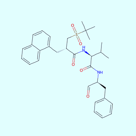 CC(C)[C@H](NC(=O)[C@H](Cc1cccc2ccccc12)CS(=O)(=O)C(C)(C)C)C(=O)N[C@H](C=O)Cc1ccccc1